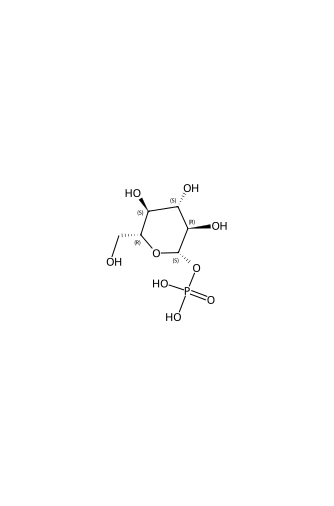 O=P(O)(O)O[C@@H]1O[C@H](CO)[C@@H](O)[C@H](O)[C@H]1O